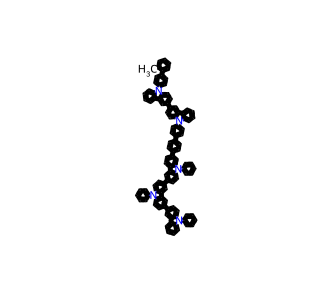 CC1CC=CC=C1c1ccc(-n2c3ccccc3c3cc(-c4ccc5c(c4)c4ccccc4n5-c4ccc(-c5ccc(-c6ccc7c8cc(-c9ccc%10c(c9)c9cc(-c%11ccc%12c(c%11)c%11ccccc%11n%12-c%11ccccc%11)ccc9n%10-c9ccccc9)ccc8n(-c8ccccc8)c7c6)cc5)cc4)ccc32)cc1